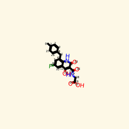 Cc1ccc(Cc2cc(F)cc3c(O)c(C(=O)NCC(=O)O)c(=O)[nH]c23)cc1